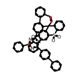 O=S1(=O)c2ccccc2C2(c3ccccc3-c3ccccc3-c3ccc(-c4nc(-c5ccccc5)nc(-c5ccc(-c6ccccc6)cc5)n4)cc32)c2cc3oc4ccccc4c3cc21